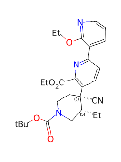 CCOC(=O)c1nc(-c2cccnc2OCC)ccc1[C@]1(C#N)CCN(C(=O)OC(C)(C)C)C[C@H]1CC